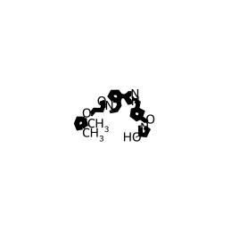 Cc1cccc(OCCCC(=O)N2CCCc3c(-c4cnn(Cc5cccc(C(=O)N6CC[C@H](O)C6)c5)c4)cccc32)c1C